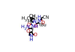 CC(C)(C)[C@H](NC(=O)CC#N)C(=O)N1C[C@H]2[C@@H]([C@H]1C(=O)N[C@@H](C[C@@H]1CCNC1=O)C(N)=O)C2(C)C